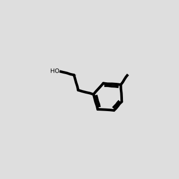 Cc1cccc(C[CH]O)c1